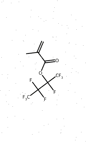 C=C(C)C(=O)OC(F)(C(F)(F)F)C(F)(F)C(F)(F)F